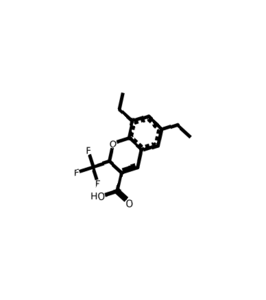 CCc1cc2c(c(CC)c1)OC(C(F)(F)F)C(C(=O)O)=C2